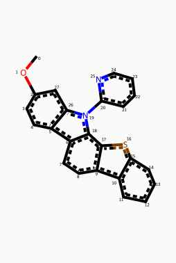 COc1ccc2c3ccc4c5ccccc5sc4c3n(-c3ccccn3)c2c1